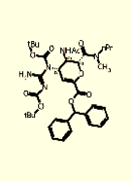 CCCN(C)C(=O)[C@@H]1OC(C(=O)OC(c2ccccc2)c2ccccc2)=C[C@H](N(C(=O)OC(C)(C)C)C(N)=NC(=O)OC(C)(C)C)[C@H]1NC(C)=O